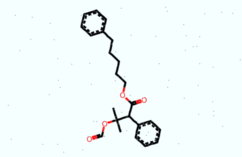 CC(C)(O[C]=O)C(C(=O)OCCCCCc1ccccc1)c1ccccc1